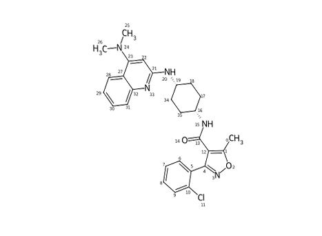 Cc1onc(-c2ccccc2Cl)c1C(=O)N[C@H]1CC[C@@H](Nc2cc(N(C)C)c3ccccc3n2)CC1